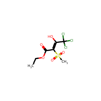 CCOC(=O)/C(=C(\O)C(Cl)(Cl)Cl)S(C)(=O)=O